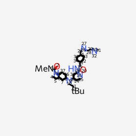 CNC(=O)n1ccc2cc(N(CCC(C)(C)C)c3ccnc(NC(=O)c4ccc(CN(C)CCN(C)C)cc4)c3)ccc21